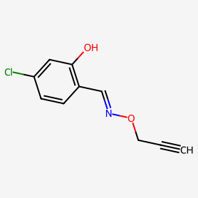 C#CCON=Cc1ccc(Cl)cc1O